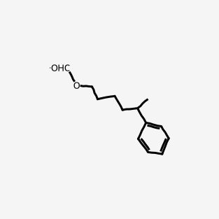 CC(CCCCO[C]=O)c1ccccc1